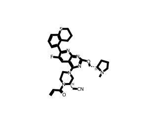 C=CC(=O)N1CCN(c2nc(OC[C@@H]3CCCN3C)nc3nc(-c4cccc5c4CCCS5)c(F)cc23)C[C@@H]1CC#N